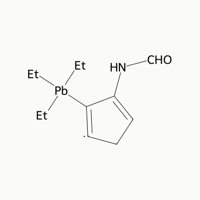 C[CH2][Pb]([CH2]C)([CH2]C)[C]1=[C]CC=C1NC=O